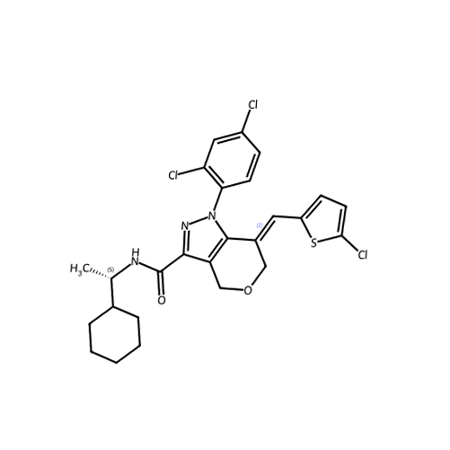 C[C@H](NC(=O)c1nn(-c2ccc(Cl)cc2Cl)c2c1COC/C2=C\c1ccc(Cl)s1)C1CCCCC1